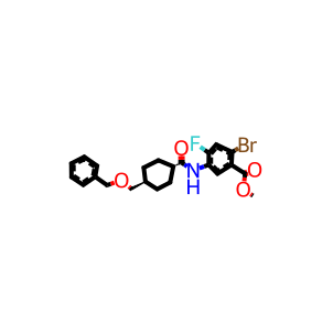 COC(=O)c1cc(NC(=O)[C@H]2CC[C@H](COCc3ccccc3)CC2)c(F)cc1Br